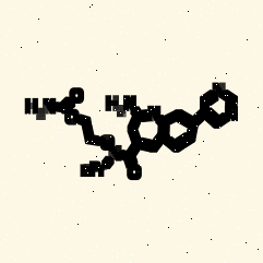 CCCN(OCCOC(N)=O)C(=O)C1=Cc2ccc(-c3cncnc3)cc2N=C(N)C1